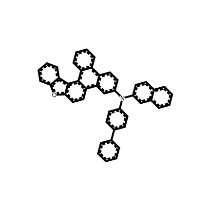 c1ccc(-c2ccc(N(c3ccc4ccccc4c3)c3ccc4c5ccccc5c5c(ccc6oc7ccccc7c65)c4c3)cc2)cc1